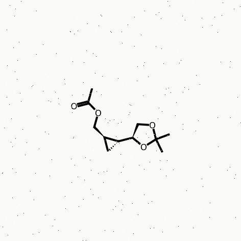 CC(=O)OC[C@@H]1C[C@H]1[C@H]1COC(C)(C)O1